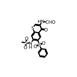 CS(=O)(=O)Nc1cc2scc(NC=O)c(=O)c2cc1S(=O)(=O)c1ccccc1